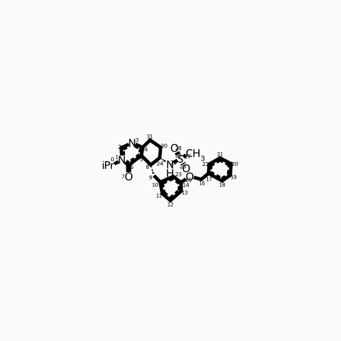 CC(C)n1cnc2c(c1=O)[C@@H](Cc1cccc(OCc3ccccc3)c1)[C@@H](NS(C)(=O)=O)CC2